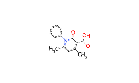 Cc1cc(C)n(-c2ccccc2)c(=O)c1C(=O)O